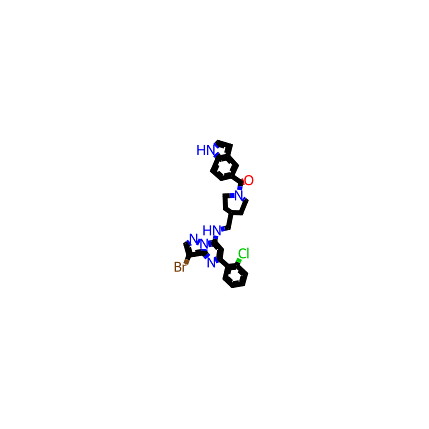 O=C(c1ccc2[nH]ccc2c1)N1CCC(CNc2cc(-c3ccccc3Cl)nc3c(Br)cnn23)CC1